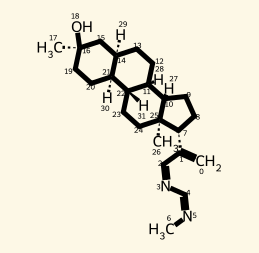 C=C(/C=N\C=N/C)[C@H]1CC[C@H]2[C@@H]3CC[C@@H]4C[C@](C)(O)CC[C@@H]4[C@H]3CC[C@]12C